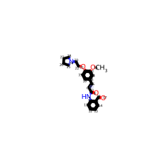 COc1cc(/C=C/C(=O)Nc2ccccc2C=O)ccc1OCCN1CCCC1